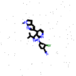 CC(C)c1nn(-c2ccc(C#N)c(Br)c2)c2nccc(-c3cnc4c(ccn4C)c3)c12